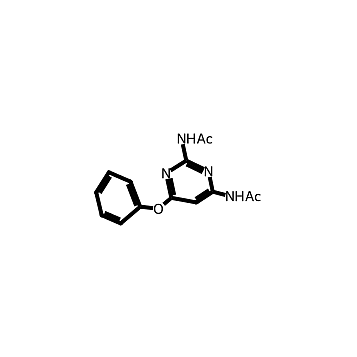 CC(=O)Nc1cc(Oc2ccccc2)nc(NC(C)=O)n1